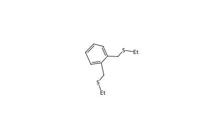 CCSCc1ccccc1CSCC